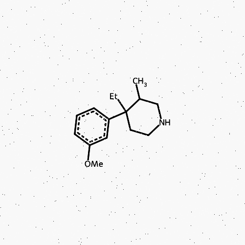 CCC1(c2cccc(OC)c2)CCNCC1C